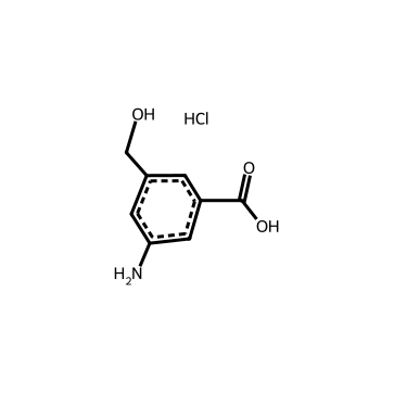 Cl.Nc1cc(CO)cc(C(=O)O)c1